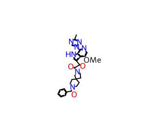 COc1cnc(-n2cnc(C)n2)c2[nH]cc(C(=O)C(=O)N3CCC4(CCN(C(=O)c5ccccc5)CC4)C3)c12